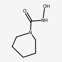 O=C(NO)N1CCCCC1